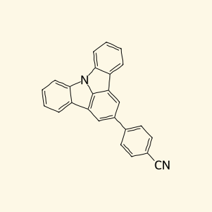 N#Cc1ccc(-c2cc3c4ccccc4n4c5ccccc5c(c2)c34)cc1